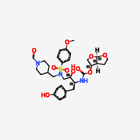 COc1ccc(S(=O)(=O)N(CC2CCN(C=O)CC2)C[C@@H](O)[C@H](Cc2ccc(O)cc2)NC(=O)O[C@H]2CO[C@H]3OCC[C@H]32)cc1